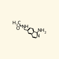 CC(=O)NCc1ccc2c(N)nccc2c1